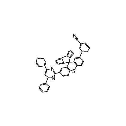 N#Cc1cccc(-c2ccc3c(c2)C2(c4cc(-c5nc(-c6ccccc6)cc(-c6ccccc6)n5)ccc4S3)c3ccccc3-c3ccccc32)c1